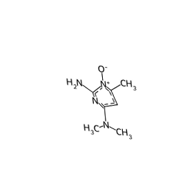 Cc1cc(N(C)C)nc(N)[n+]1[O-]